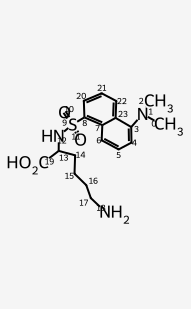 CN(C)c1cccc2c(S(=O)(=O)NC(CCCCN)C(=O)O)cccc12